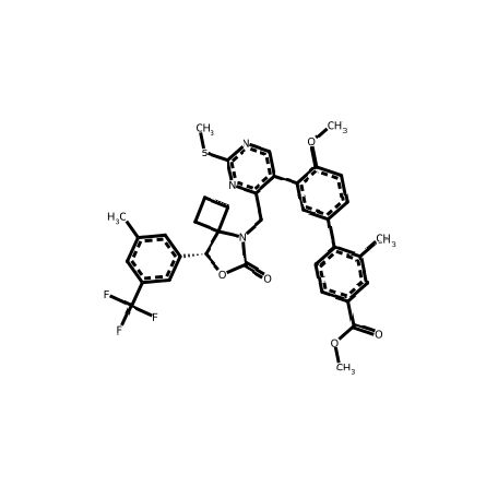 COC(=O)c1ccc(-c2ccc(OC)c(-c3cnc(SC)nc3CN3C(=O)O[C@H](c4cc(C)cc(C(F)(F)F)c4)C34CCC4)c2)c(C)c1